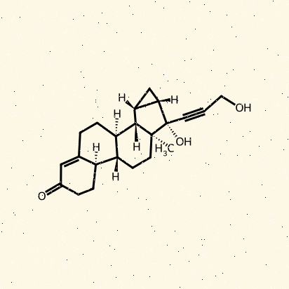 C[C@]12CC[C@H]3[C@@H](CCC4=CC(=O)CC[C@@H]43)[C@@H]1[C@@H]1C[C@@H]1[C@@]2(O)C#CCO